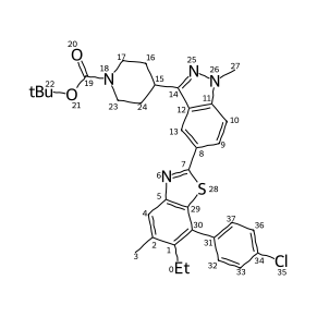 CCc1c(C)cc2nc(-c3ccc4c(c3)c(C3CCN(C(=O)OC(C)(C)C)CC3)nn4C)sc2c1-c1ccc(Cl)cc1